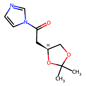 CC1(C)OC[C@H](CC(=O)n2ccnc2)O1